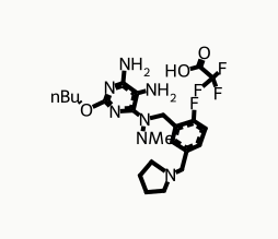 CCCCOc1nc(N)c(N)c(N(Cc2cc(CN3CCCC3)ccc2F)NC)n1.O=C(O)C(F)(F)F